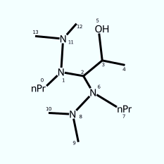 CCCN(C(C(C)O)N(CCC)N(C)C)N(C)C